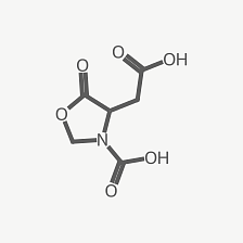 O=C(O)CC1C(=O)OCN1C(=O)O